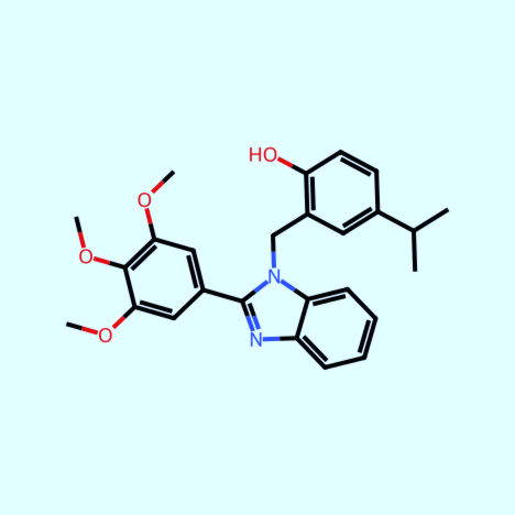 COc1cc(-c2nc3ccccc3n2Cc2cc(C(C)C)ccc2O)cc(OC)c1OC